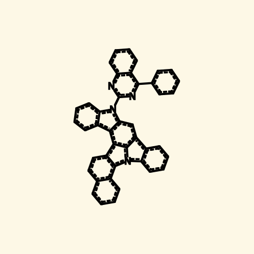 c1ccc(-c2nc(-n3c4ccccc4c4c5c6ccc7ccccc7c6n6c7ccccc7c(cc43)c56)nc3ccccc23)cc1